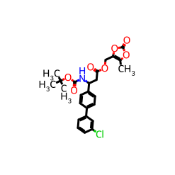 Cc1oc(=O)oc1COC(=O)CC(NC(=O)OC(C)(C)C)c1ccc(-c2cccc(Cl)c2)cc1